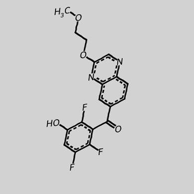 COCCOc1cnc2ccc(C(=O)c3c(F)c(O)cc(F)c3F)cc2n1